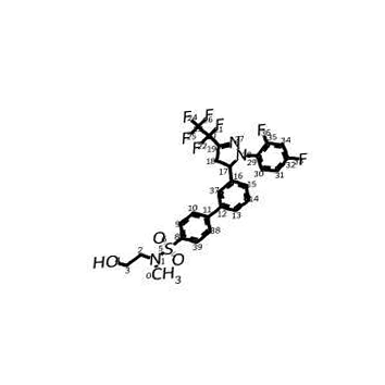 CN(CCO)S(=O)(=O)c1ccc(-c2cccc(C3CC(C(F)(F)C(F)(F)F)=NN3c3ccc(F)cc3F)c2)cc1